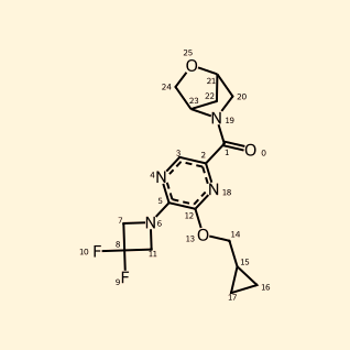 O=C(c1cnc(N2CC(F)(F)C2)c(OCC2CC2)n1)N1CC2CC1CO2